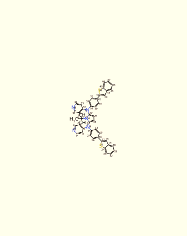 CC(C)(C)n1c(N(c2ccncc2)c2ccc(-c3cc4ccccc4s3)cc2)ccc1N(c1ccncc1)c1ccc(-c2cc3ccccc3s2)cc1